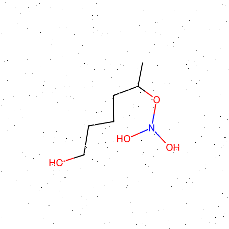 CC(CCCCO)ON(O)O